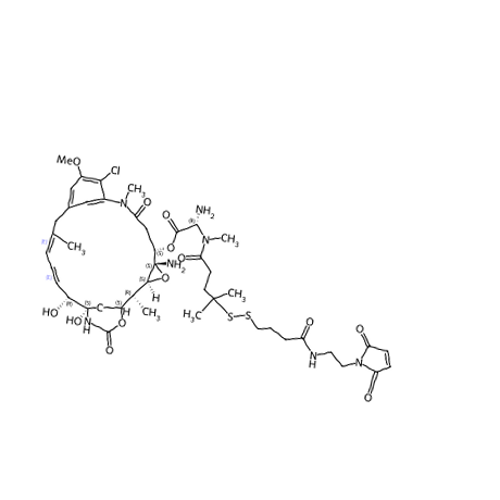 COc1cc2cc(c1Cl)N(C)C(=O)C[C@H](OC(=O)[C@H](N)N(C)C(=O)CCC(C)(C)SSCCCC(=O)NCCN1C(=O)C=CC1=O)[C@]1(N)O[C@H]1[C@H](C)[C@@H]1C[C@@](O)(NC(=O)O1)[C@H](O)/C=C/C=C(\C)C2